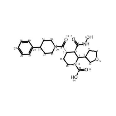 O=C(NO)[C@H]1C(C2CCOC2)N(C(=O)O)CC[C@@H]1C(=O)N1CCC(c2ccccc2)CC1